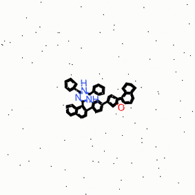 c1ccc(C2=NC(c3c(-c4ccc(-c5ccc6c(c5)oc5ccc7ccccc7c56)cc4)ccc4ccccc34)NC(c3ccccc3)N2)cc1